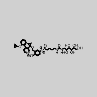 CCN(CCCCNC(=O)NCC(O)C(O)C(O)C(O)CO)S(=O)(=O)c1ccc(Cl)c(COC2(c3c[n+]([O-])ccc3-c3ccccc3OC3CC3)CC2)c1